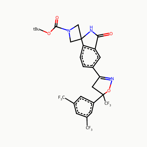 CC(C)(C)OC(=O)N1CC2(C1)NC(=O)c1cc(C3=NOC(c4cc(C(F)(F)F)cc(C(F)(F)F)c4)(C(F)(F)F)C3)ccc12